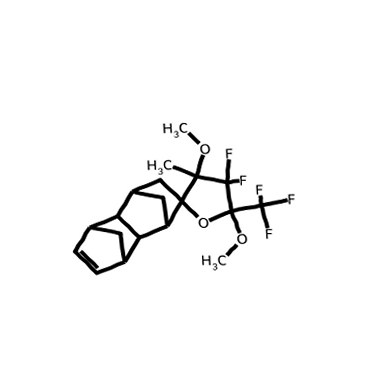 COC1(C)C2(CC3CC2C2C4C=CC(C4)C32)OC(OC)(C(F)(F)F)C1(F)F